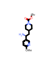 COc1ccc([C@@H](N)CC2CCN(C(=O)OC(C)(C)C)CC2)cn1